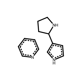 c1cc(C2CCCN2)c[nH]1.c1ccncc1